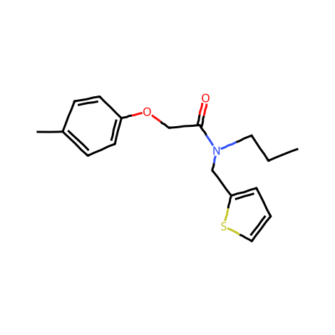 CCCN(Cc1cccs1)C(=O)COc1ccc(C)cc1